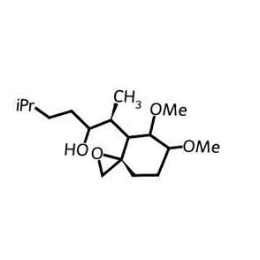 COC1CC[C@]2(CO2)C([C@H](C)C(O)CCC(C)C)C1OC